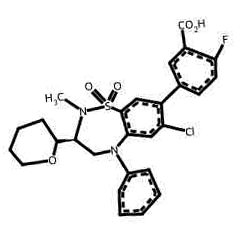 CN1[C@H](C2CCCCO2)CN(c2ccccc2)c2cc(Cl)c(-c3ccc(F)c(C(=O)O)c3)cc2S1(=O)=O